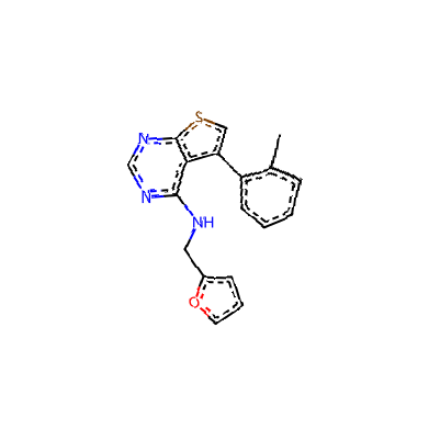 Cc1ccccc1-c1csc2ncnc(NCc3ccco3)c12